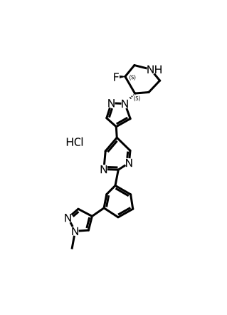 Cl.Cn1cc(-c2cccc(-c3ncc(-c4cnn([C@H]5CCNC[C@@H]5F)c4)cn3)c2)cn1